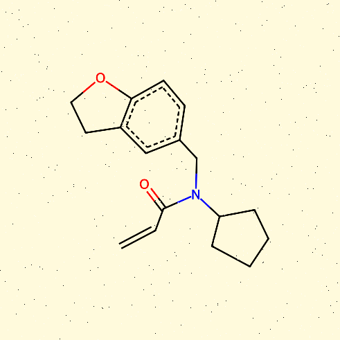 C=CC(=O)N(Cc1ccc2c(c1)CCO2)C1CCCC1